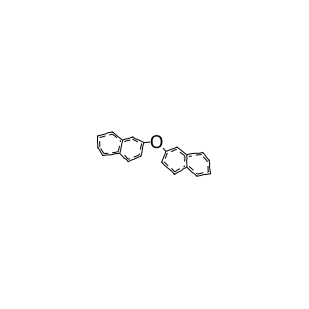 c1ccc2cc(Oc3ccc4ccccc4c3)ccc2c1